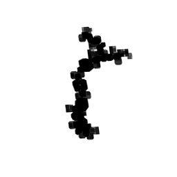 CCc1c2c(nc3ccc(OC(=O)N4CCN(C(=O)OCc5ccc(NC(=O)[C@H](CCCNC(N)=O)NC(=O)[C@H](C)NC(=O)CCC(=O)C(C)C)cc5)CC4)cc13)-c1cc3c(c(=O)n1C2)COC(=O)[C@@]3(C)O